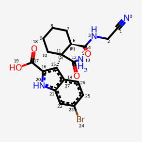 N#CCNC(=O)[C@@H]1CCCC[C@@]1(C(N)=O)c1c(C(=O)O)[nH]c2cc(Br)ccc12